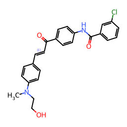 CN(CCO)c1ccc(/C=C/C(=O)c2ccc(NC(=O)c3cccc(Cl)c3)cc2)cc1